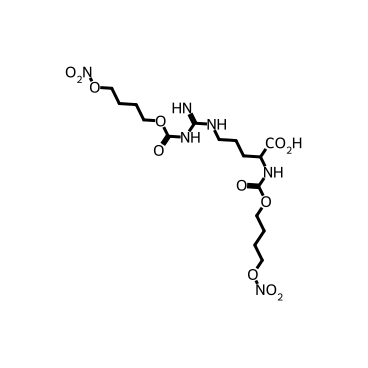 N=C(NCCCC(NC(=O)OCCCCO[N+](=O)[O-])C(=O)O)NC(=O)OCCCCO[N+](=O)[O-]